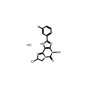 CCCN1C(=O)N2CC(CC)N=C2c2[nH]c(-c3cccc(I)c3)nc21.Cl